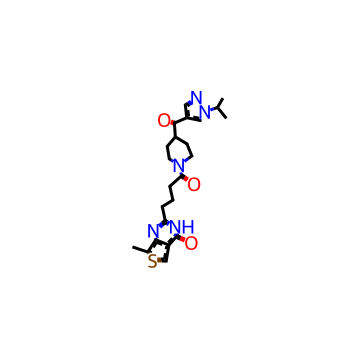 Cc1scc2c(=O)[nH]c(CCCC(=O)N3CCC(C(=O)c4cnn(C(C)C)c4)CC3)nc12